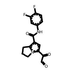 O=CC(=O)c1cc(C(=O)Nc2ccc(F)c(F)c2)c2n1CCC2